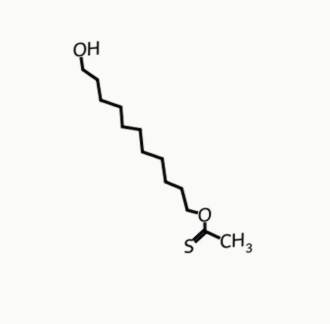 CC(=S)OCCCCCCCCCCCO